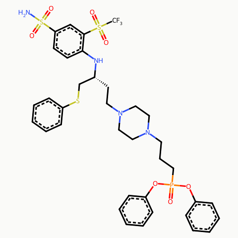 NS(=O)(=O)c1ccc(N[C@H](CCN2CCN(CCCP(=O)(Oc3ccccc3)Oc3ccccc3)CC2)CSc2ccccc2)c(S(=O)(=O)C(F)(F)F)c1